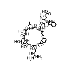 CC(C)C[C@@H]1NC(=O)[C@H]([C@@H](C)O)NC(=O)[C@H](CC(=O)O)NC(=O)[C@H](CO)NC(=O)[C@H](CCCNC(N)N)N(C)C(=O)c2ccccc2CSC(C)(C)[C@@H](C(=O)N[C@@H](Cc2c[nH]c3ccccc23)C(=O)N[C@H](CCC(=O)O)C(N)=O)NC1=O